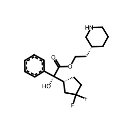 O=C(OCC[C@H]1CCCNC1)[C@](O)(c1ccccc1)[C@@H]1CCC(F)(F)C1